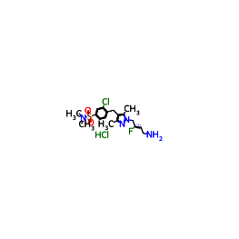 Cc1nn(C/C(F)=C/CN)c(C)c1Cc1ccc(S(=O)(=O)N(C)C)cc1Cl.Cl